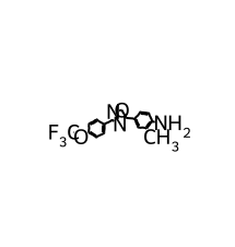 Cc1cc(-c2nc(-c3ccc(OC(F)(F)F)cc3)no2)ccc1N